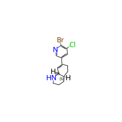 Clc1cc(C2=C[C@@H]3NCCC[C@@H]3CC2)cnc1Br